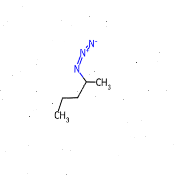 CCCC(C)N=[N+]=[N-]